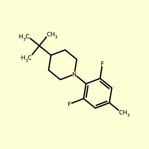 Cc1cc(F)c(N2CCC(C(C)(C)C)CC2)c(F)c1